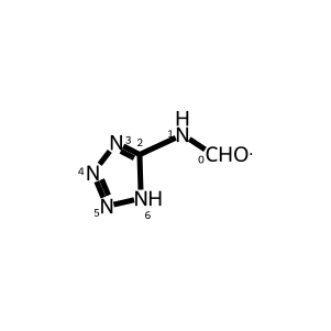 O=[C]Nc1nnn[nH]1